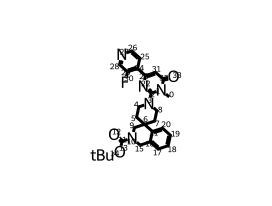 Cn1c(N2CCC3(CC2)CN(C(=O)OC(C)(C)C)Cc2ccccc23)nc(-c2ccncc2F)cc1=O